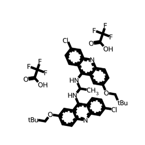 CC(Nc1c2ccc(Cl)cc2nc2ccc(OCC(C)(C)C)cc12)Nc1c2ccc(Cl)cc2nc2ccc(OCC(C)(C)C)cc12.O=C(O)C(F)(F)F.O=C(O)C(F)(F)F